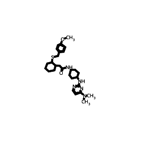 COc1ccc(CSC2CCCCC2CC(=O)NC2CCC(Nc3nccc(N(C)C)n3)CC2)cc1